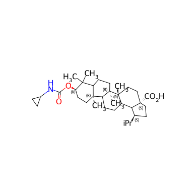 CC(C)[C@@H]1CC[C@]2(C(=O)O)CC[C@]3(C)C(CCC4[C@@]5(C)CC[C@@H](OC(=O)NC6CC6)C(C)(C)C5CC[C@]43C)C12